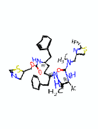 C=C(N[C@H](CC[C@H](Cc1ccccc1)NC(=O)OCC1CN=CS1)Cc1ccccc1)[C@@H](NC(=O)N(C)Cc1csc(C(C)C)n1)C(C)=O